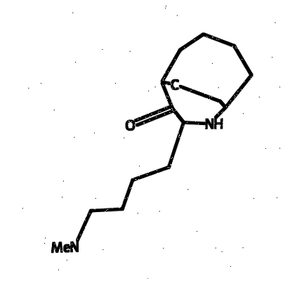 CNCCCCC1NC2CCCCC(CC2)C1=O